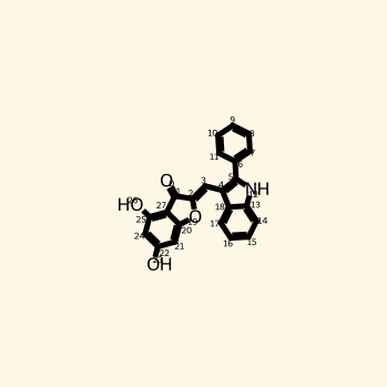 O=C1/C(=C/c2c(-c3ccccc3)[nH]c3ccccc23)Oc2cc(O)cc(O)c21